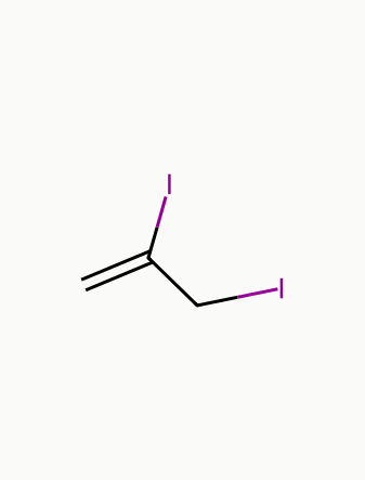 C=C(I)CI